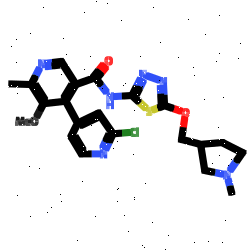 COc1c(C)ncc(C(=O)Nc2nnc(OCC3CCN(C)C3)s2)c1-c1ccnc(Cl)c1